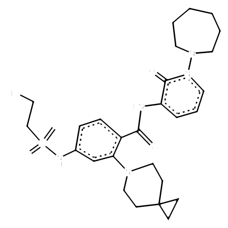 O=C(Nc1cccn(N2CCCCCC2)c1=O)c1ccc(NS(=O)(=O)CCO)cc1N1CCC2(CC1)CC2